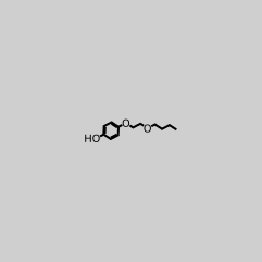 CCCCOCCOc1ccc(O)cc1